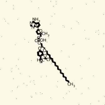 CCCCCCCCCCCCCCCCCCOC[C@H](COP(=O)(O)OC[C@]1(C)CC[C@H](c2ccc3c(N)ncnn23)O1)Oc1ccc(C#N)c(OC(C)C)c1